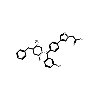 C[C@@H]1CN([C@H](c2ccc(-c3cnn(CC(=O)O)c3)cc2)c2cccc(O)c2)[C@@H](C)CN1Cc1ccccc1